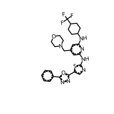 FC(F)(F)C1CCC(Nc2cc(CN3CCOCC3)cc(Nc3ncc(-c4nnc(-c5ccccc5)o4)s3)n2)CC1